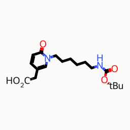 CC(C)(C)OC(=O)NCCCCCCn1cc(CC(=O)O)ccc1=O